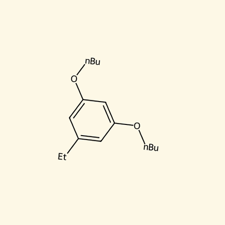 CCCCOc1cc(CC)cc(OCCCC)c1